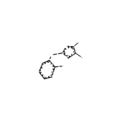 CC(=O)c1sc(Nc2ccccc2[N+](=O)[O-])cc1C